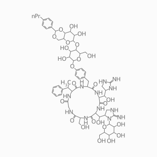 CCCc1ccc(C2OCC3OC(OC4C(CO)OC(Oc5ccc(CC6NC(=O)C(C(C)c7ccccc7)NC(=O)CNC(=O)C(CO)NC(=O)C(C(O)C7CNC(=N)N7C7OC(CO)C(O)C(O)C7O)NC(=O)C(C(O)C7CNC(=N)N7)NC6=O)cc5)C(O)C4O)C(O)C(O)C3O2)cc1